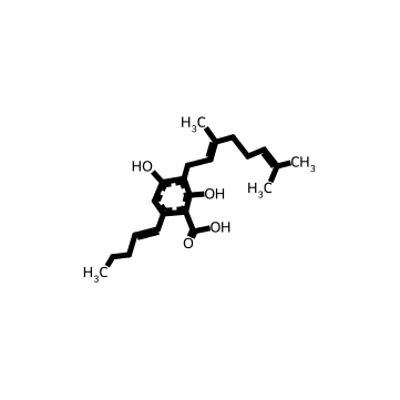 CCC/C=C/c1cc(O)c(C/C=C(\C)CCC=C(C)C)c(O)c1C(=O)O